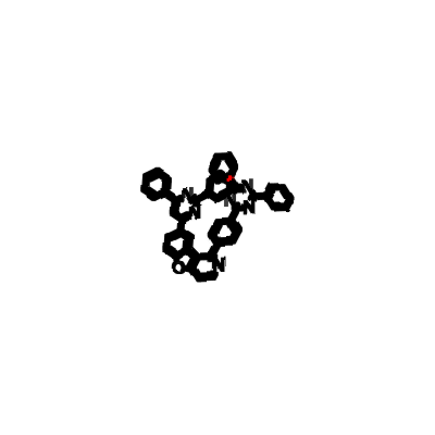 c1ccc(-c2cc(-c3ccc4oc5ccnc(-c6ccc(-c7nc(-c8ccccc8)nc(-c8ccccc8)n7)cc6)c5c4c3)nc(-c3ccccc3)n2)cc1